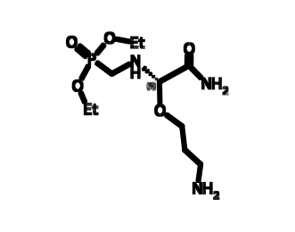 CCOP(=O)(CN[C@@H](OCCCN)C(N)=O)OCC